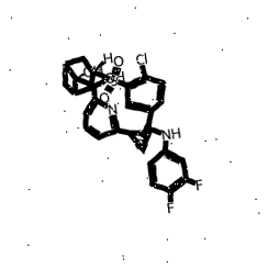 O=C(Nc1ccc(F)c(F)c1)c1ccc(Cl)c(S(=O)(=O)[C@H]2CC3CC(C2)[C@]3(O)C(O)c2cccc(C3CC3)n2)c1